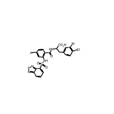 O=C(NC(Cc1ccc(Cl)c(Br)c1)C(=O)O)c1ccc(I)cc1NS(=O)(=O)c1cccc2nsnc12